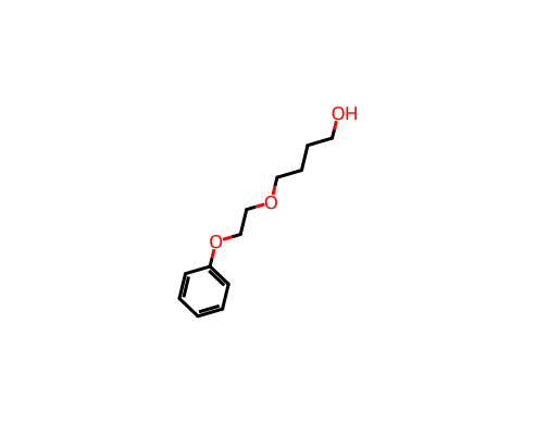 OCCCCOCCOc1ccccc1